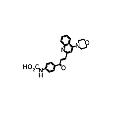 O=C(O)Nc1ccc(C(=O)C=Cc2cc(N3CCOCC3)c3ccccc3n2)cc1